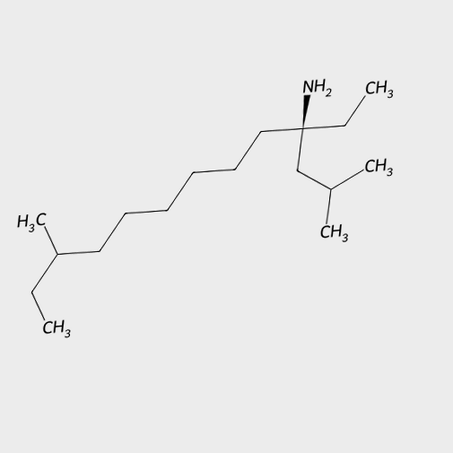 CCC(C)CCCCCC[C@](N)(CC)CC(C)C